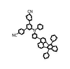 N#Cc1ccc(-c2cc(-c3ccc(C#N)cc3)cc(N(c3ccccc3)c3cccc(-c4ccc5c6c(cccc46)-c4c-5c(-c5ccccc5)c5ccccc5c4-c4ccccc4)c3)c2)cc1